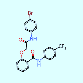 O=C(COc1ccccc1C(=O)Nc1ccc(C(F)(F)F)cc1)Nc1ccc(Br)cc1